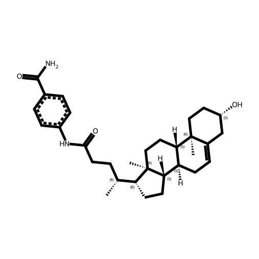 C[C@H](CCC(=O)Nc1ccc(C(N)=O)cc1)[C@H]1CC[C@H]2[C@@H]3CC=C4C[C@@H](O)CC[C@]4(C)[C@H]3CC[C@]12C